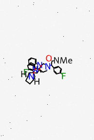 CNC(=O)C(c1ccc(F)cc1)N1CCC(CCN2[C@@H]3CC[C@H]2CC(n2c(C)nc4ccccc42)C3)(c2cccc(F)c2)CC1